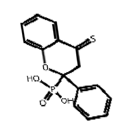 O=P(O)(O)C1(c2ccccc2)CC(=S)c2ccccc2O1